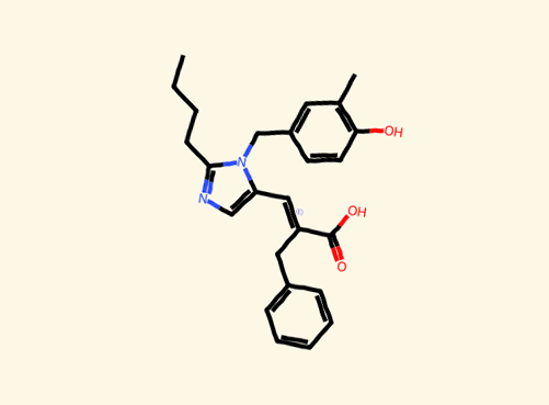 CCCCc1ncc(/C=C(\Cc2ccccc2)C(=O)O)n1Cc1ccc(O)c(C)c1